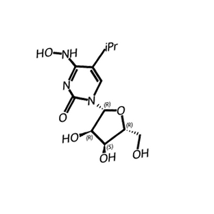 CC(C)c1cn([C@@H]2O[C@H](CO)[C@@H](O)[C@H]2O)c(=O)nc1NO